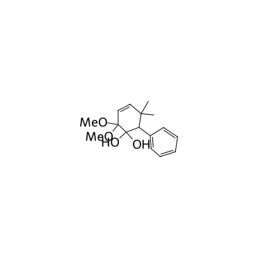 COC1(OC)C=CC(C)(C)C(c2ccccc2)C1(O)O